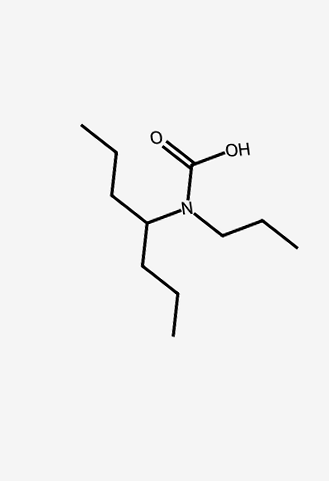 CCCC(CCC)N(CCC)C(=O)O